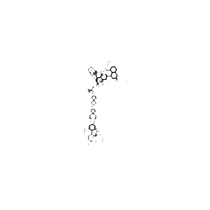 CCc1c(F)ccc2cc(O)cc(-c3ncc4c(N5CC6CCC(C5)N6)nc(OCC5(CN6CC7(CC(N8CC9(CCN(c%10cc(F)c(C%11CCC(=O)NC%11=O)c(F)c%10)CC9)C8)C7)C6)CC5)nc4c3F)c12